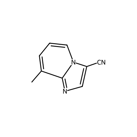 Cc1cccn2c(C#N)cnc12